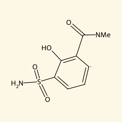 CNC(=O)c1[c]ccc(S(N)(=O)=O)c1O